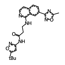 Cc1nc(-c2ccc3ccnc(NCCC(=O)Nc4cc(C(C)(C)C)on4)c3c2)no1